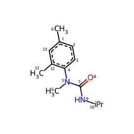 Cc1ccc(N(C)C(=O)NC(C)C)c(C)c1